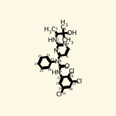 CC(Nc1nccc(N(C(=O)Nc2cc(Cl)cc(Cl)c2Cl)c2ccccc2)n1)C(C)(C)O